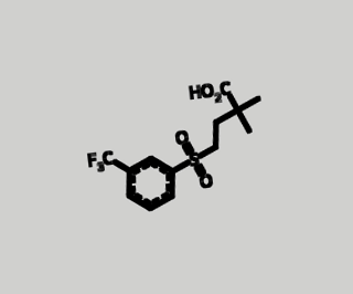 CC(C)(CCS(=O)(=O)c1cccc(C(F)(F)F)c1)C(=O)O